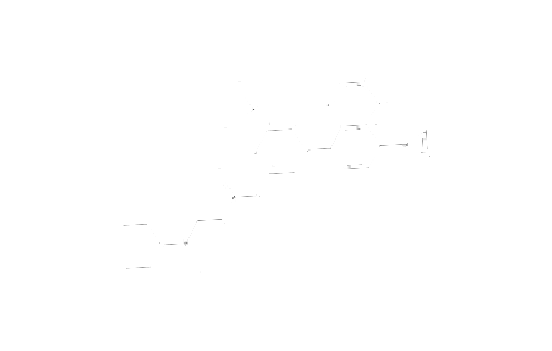 CCN(CC)C(=O)CCC(=O)N[C@@H]1C[C@H](C(F)(F)F)CN(c2ccc(C3C=N3)c3ncccc23)C1